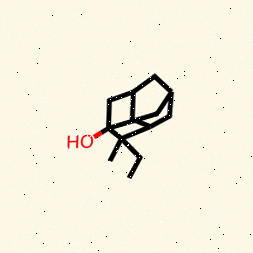 CCC1(C)C2CC3CC(C2)CC1(O)C3